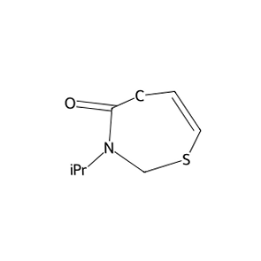 CC(C)N1CSC=CCC1=O